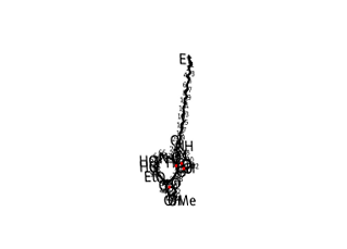 CCC=CCC=CCC=CCC=CCC=CCC=CCCC(=O)NC(C)C(=O)N(C)[C@H]1C[C@@H](C)O[C@@H](O[C@@H]2[C@@H](C)[C@H](O[C@H]3C[C@@](C)(OC)[C@@H](O)[C@H](C)O3)[C@@H](C)C(=O)O[C@H](CC)[C@@](C)(O)[C@H](O)[C@@H](C)N(C)C[C@H](C)C[C@@]2(C)O)[C@@H]1O